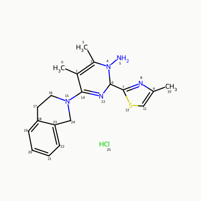 CC1=C(C)N(N)C(c2nc(C)cs2)N=C1N1CCc2ccccc2C1.Cl